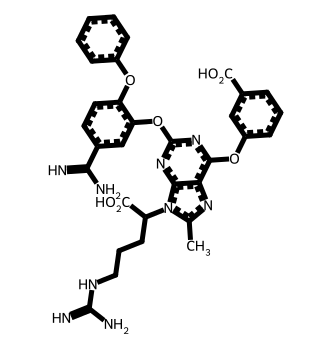 Cc1nc2c(Oc3cccc(C(=O)O)c3)nc(Oc3cc(C(=N)N)ccc3Oc3ccccc3)nc2n1C(CCCNC(=N)N)C(=O)O